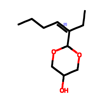 CCC/C=C(/CC)C1OCC(O)CO1